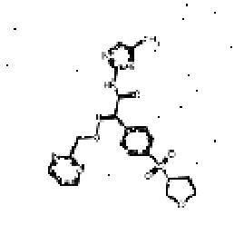 Cc1cnc(NC(=O)/C(=N/OCc2ncccn2)c2ccc(S(=O)(=O)[C@H]3CCOC3)cc2)s1